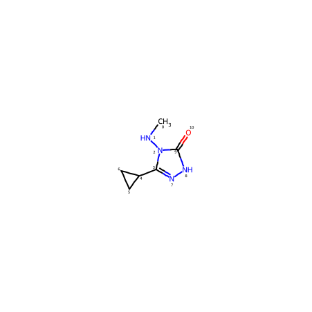 CNn1c(C2CC2)n[nH]c1=O